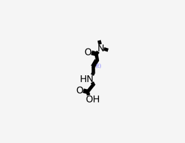 CN(C)C(=O)/C=C/CNCC(=O)O